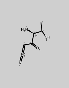 CC(O)[C@H](N)C(=O)C=[N+]=[N-]